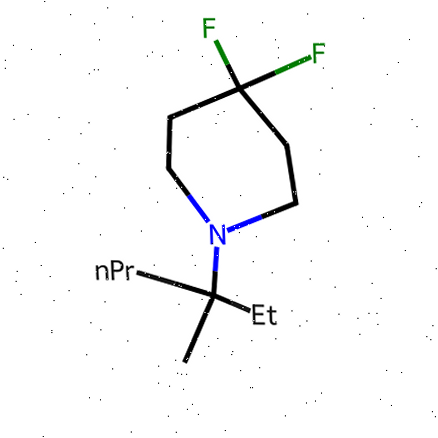 CCCC(C)(CC)N1CCC(F)(F)CC1